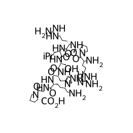 CC(C)C[C@@H](NC(=O)[C@H](CCCNC(=N)N)NC(=O)[C@@H]1CCCN1C(=O)[C@@H](N)CCCNC(=N)N)C(=O)N[C@@H](CO)C(=O)N[C@@H](Cc1c[nH]cn1)C(=O)N[C@@H](CCCCN)C(=O)NCC(=O)N1CCC[C@H]1C(=O)O